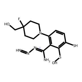 N=N/N=C(\N)c1c(N2CCC(F)(CO)CC2)ccc(S)c1SO